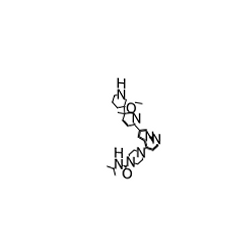 CCO[C@]1(C2(C)C=CC(c3cc4c(N5CCN(C(=O)NC(C)C)CC5)ccnn4c3)=NC2)CCCNC1